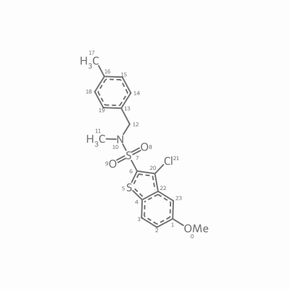 COc1ccc2sc(S(=O)(=O)N(C)Cc3ccc(C)cc3)c(Cl)c2c1